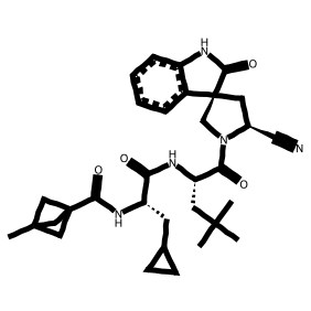 CC(C)(C)C[C@H](NC(=O)[C@H](CC1CC1)NC(=O)C12CC(C)(C1)C2)C(=O)N1C[C@]2(C[C@H]1C#N)C(=O)Nc1ccccc12